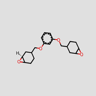 c1cc(OCC2CCC3OC3C2)cc(OCC2CCC3O[C@H]3C2)c1